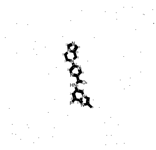 Cc1cn2cc(NC(=O)c3cnc(N4CCn5cncc5C4)cn3)cc(F)c2n1